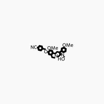 COc1ccc2c(c1)c1c(n2CO)CN2CCc3cc(OCc4ccc(C#N)cc4)c(OC)cc3C2C1